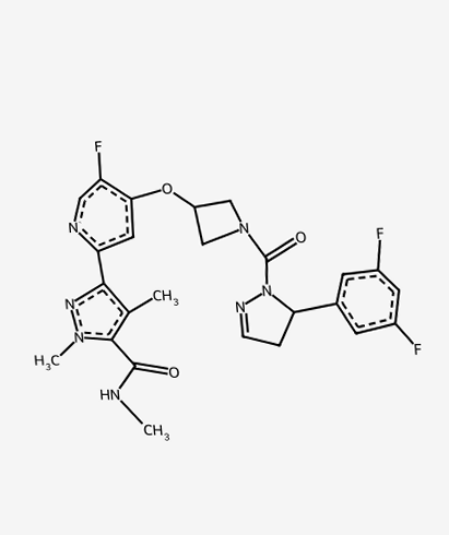 CNC(=O)c1c(C)c(-c2cc(OC3CN(C(=O)N4N=CCC4c4cc(F)cc(F)c4)C3)c(F)cn2)nn1C